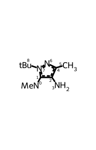 CNc1c(N)c(C)nn1C(C)(C)C